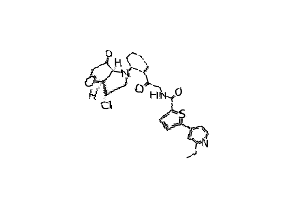 CCc1cc(-c2ccc(C(=O)NCC(=O)C3CCCCC3N3C[C@H](Cl)[C@H]4OCC(=O)[C@H]43)s2)ccn1